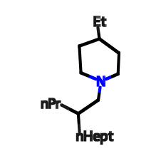 CCCCCCCC(CCC)CN1CCC(CC)CC1